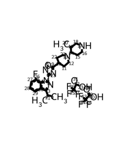 CC(C)c1nn(-c2noc(C3CCN(C4CCNCC4C)CC3)n2)c2c(F)cccc12.O=C(O)C(F)(F)F.O=C(O)C(F)(F)F